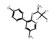 C[C@H](Oc1ncc(N)cc1-c1ccc(Cl)cc1)C(F)(F)F